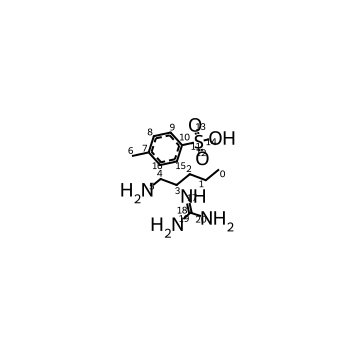 CCCCCN.Cc1ccc(S(=O)(=O)O)cc1.N=C(N)N